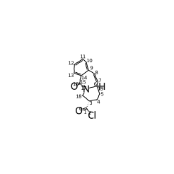 O=C(Cl)[C@H]1CC[C@H]2C=Cc3ccccc3C(=O)N2C1